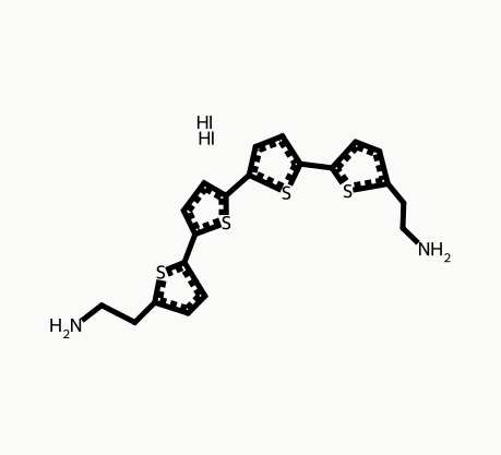 I.I.NCCc1ccc(-c2ccc(-c3ccc(-c4ccc(CCN)s4)s3)s2)s1